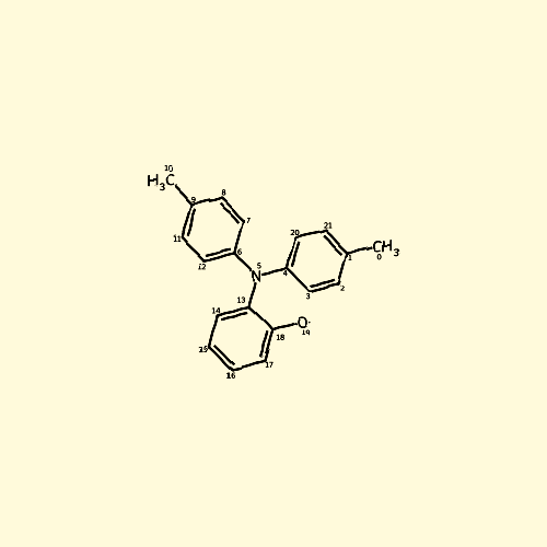 Cc1ccc(N(c2ccc(C)cc2)c2ccccc2[O])cc1